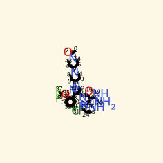 CC(=O)N1CCC(N2CCC(n3cc(NC(=O)/C(C(=N)N)=C4\N=CC=CN4)c(-c4cc(Cl)ccc4OC(F)F)n3)CC2)CC1